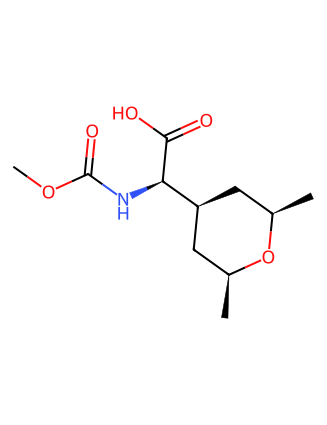 COC(=O)N[C@@H](C(=O)O)[C@H]1C[C@@H](C)O[C@@H](C)C1